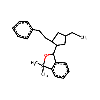 CCC1CC(CCc2ccccc2)C(C2O[Si](C)(C)c3ccccc32)C1